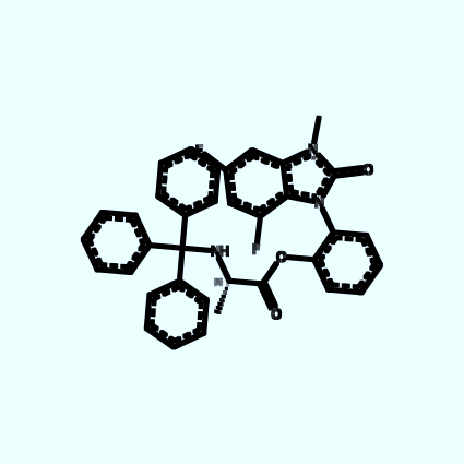 C[C@H](NC(c1ccccc1)(c1ccccc1)c1ccccc1)C(=O)Oc1ccccc1-n1c(=O)n(C)c2cc(F)cc(F)c21